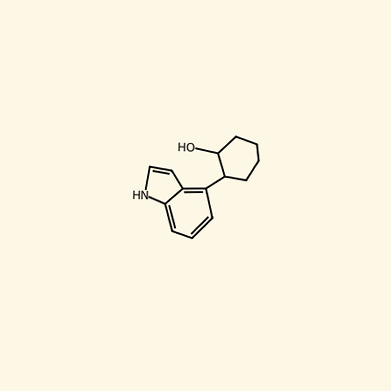 OC1CCCCC1c1cccc2[nH]ccc12